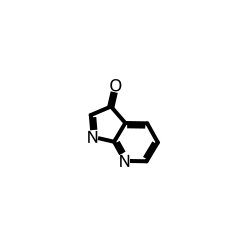 O=C1C=Nc2ncccc21